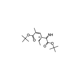 CC[C@@H](C=C(C)C(=O)OC(C)(C)C)C(=N)C(=O)OC(C)(C)C